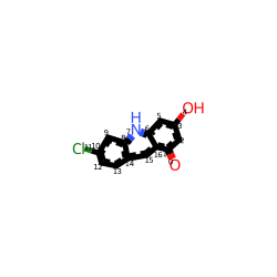 O=c1cc(O)cc2[nH]c3cc(Cl)ccc3cc1-2